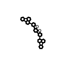 c1ccc2c(c1)-c1cccc3c(-c4ccc5oc6c(ccc7c8cc(-c9ccc%10c%11c(cccc9%11)-c9ccccc9-%10)ccc8oc76)c5c4)ccc-2c13